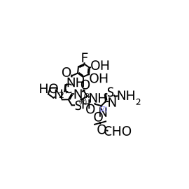 CC(C)(OC=O)O/N=C(\C(=O)N[C@@H]1C(=O)N2C(C(=O)O)=C(C[N+]3(CCNC(=O)c4cc(O)c(O)c(F)c4)CCCC3)CS[C@H]12)c1csc(N)n1